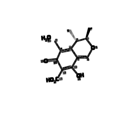 CC1=C2C(=CO[C@H](C)[C@H]2C)C(O)=C(C(=O)O)C1=O.O